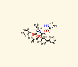 CN[C@@H](CC(C)C)C(=O)O[C@H](C)C(=O)N(C)[C@@H](CC(C)(C)F)C(=O)O[C@H](Cc1ccc(C2=CCOCC2)cc1)C(=O)OCc1ccccc1